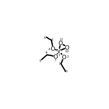 CC[O][V]1([O]CC)([O]CC)[O][O]1